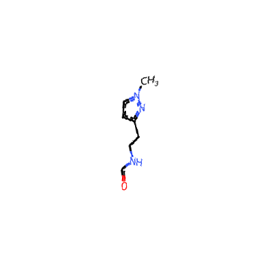 Cn1ccc(CCNC=O)n1